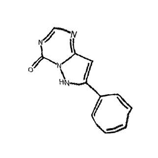 O=c1ncnc2cc(-c3ccccc3)[nH]n12